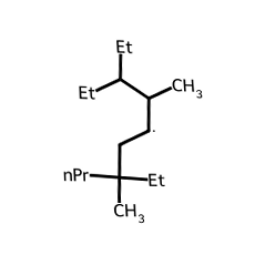 CCCC(C)(CC)C[CH]C(C)C(CC)CC